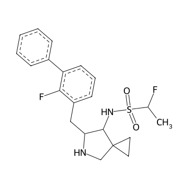 CC(F)S(=O)(=O)NC1C(Cc2cccc(-c3ccccc3)c2F)NCC12CC2